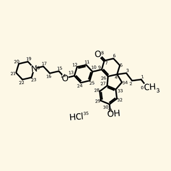 CCCCC12CCC(=O)C(c3ccc(OCCCN4CCCCC4)cc3)=C1c1ccc(O)cc1C2.Cl